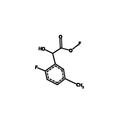 Cc1ccc(F)c(C(O)C(=O)OF)c1